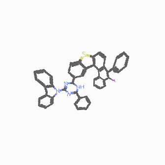 Ic1c(-c2ccccc2)c2ccc3sc4ccc(C5N=C(n6c7ccccc7c7ccccc76)N=C(c6ccccc6)N5)cc4c3c2c2ccccc12